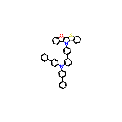 C1=CC2=C(CC1)SC1c3oc4ccccc4c3N(c3ccc(C4C=C(N(c5ccc(-c6ccccc6)cc5)c5ccc(-c6ccccc6)cc5)C=CC4)cc3)C21